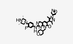 Cc1nn(-c2cnoc2)c(C)c1-c1cc2cnc(Nc3ccc(N4C[C@@H](C)N[C@@H](C)C4)c(F)c3)nc2n(CC2CCOCC2)c1=O